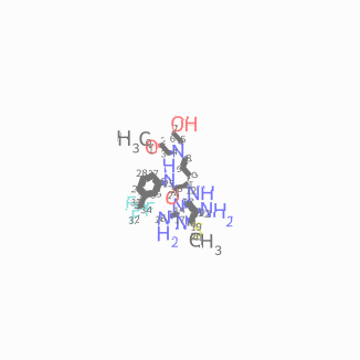 COCCN(CCO)CCC[C@H](Nc1nc(N)nc(SC)c1N)C(=O)Nc1cccc(C(F)(F)F)c1